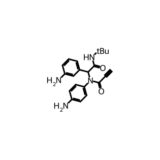 C#CC(=O)N(c1ccc(N)cc1)C(C(=O)NC(C)(C)C)c1cccc(N)c1